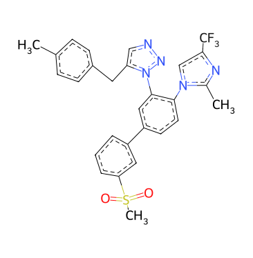 Cc1ccc(Cc2cnnn2-c2cc(-c3cccc(S(C)(=O)=O)c3)ccc2-n2cc(C(F)(F)F)nc2C)cc1